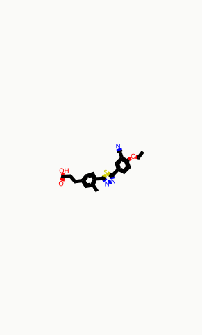 CCOc1ccc(-c2nnc(-c3ccc(CCC(=O)O)cc3C)s2)cc1C#N